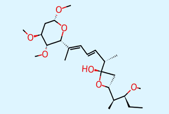 CC[C@H](OC)[C@@H](C)[C@H]1C[C@@](O)([C@@H](C)/C=C/C=C(\C)[C@H]2O[C@@H](OC)C[C@H](OC)[C@H]2OC)O1